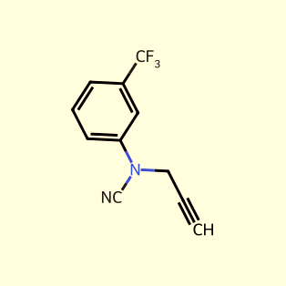 C#CCN(C#N)c1cccc(C(F)(F)F)c1